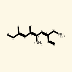 C=C\C(=C/C(N)=C(C)/C=C(\C)CC)CN